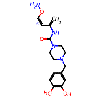 C=C(/C=C\ON)NC(=O)N1CCN(Cc2ccc(O)c(O)c2)CC1